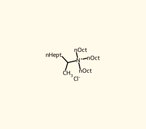 CCCCCCCC[N+](CCCCCCCC)(CCCCCCCC)C(C)CCCCCCC.[Cl-]